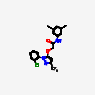 Cc1cc(C)cc(NC(=O)COc2cc(C(F)(F)F)nn2-c2ccccc2Cl)c1